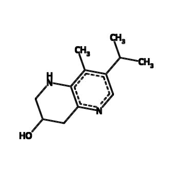 Cc1c(C(C)C)cnc2c1NCC(O)C2